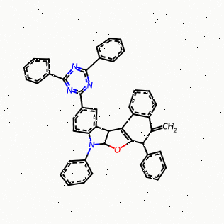 C=C1c2ccccc2C2=C(OC3C2c2cc(-c4nc(-c5ccccc5)nc(-c5ccccc5)n4)ccc2N3c2ccccc2)C1c1ccccc1